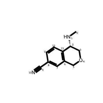 CN[C@@H]1COCc2cc(C#N)ccc21